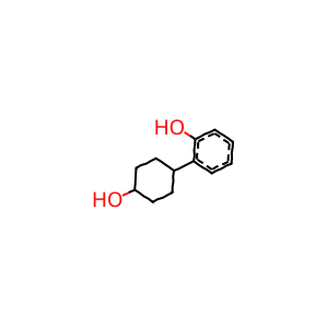 Oc1ccccc1C1CCC(O)CC1